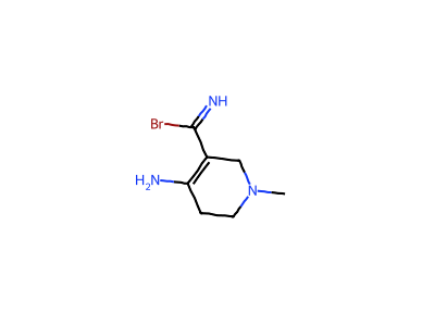 CN1CCC(N)=C(C(=N)Br)C1